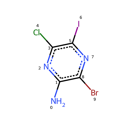 Nc1nc(Cl)c(I)nc1Br